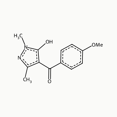 COc1ccc(C(=O)c2c(C)nn(C)c2O)cc1